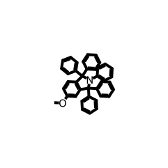 COc1ccc2c(c1)C(c1ccccc1)(c1ccccc1)N(c1ccccc1)C2(c1ccccc1)c1ccccc1